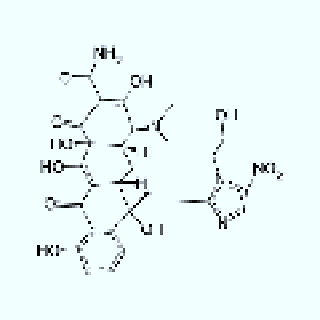 CN(C)[C@@H]1C(O)=C(C(N)=O)C(=O)[C@@]2(O)C(O)=C3C(=O)c4c(O)cccc4[C@@](C)(O)[C@H]3C[C@@H]12.Cc1ncc([N+](=O)[O-])n1CCO